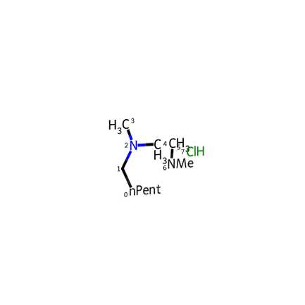 CCCCCCN(C)C.CNC.Cl